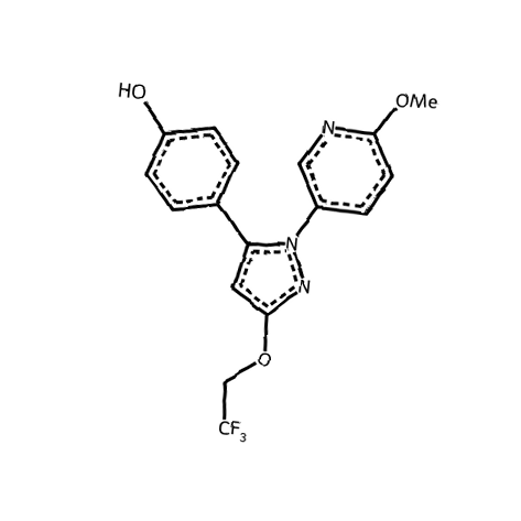 COc1ccc(-n2nc(OCC(F)(F)F)cc2-c2ccc(O)cc2)cn1